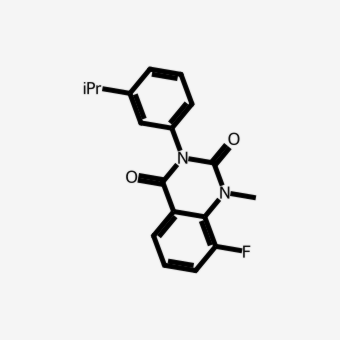 CC(C)c1cccc(-n2c(=O)c3cccc(F)c3n(C)c2=O)c1